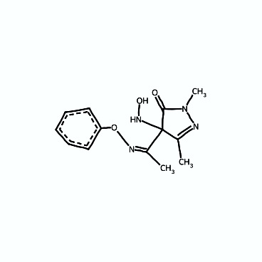 CC(=NOc1ccccc1)C1(NO)C(=O)N(C)N=C1C